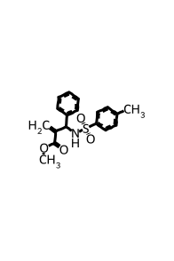 C=C(C(=O)OC)C(NS(=O)(=O)c1ccc(C)cc1)c1ccccc1